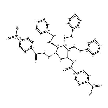 O=C(OC[C@H]1OC(OC(=O)c2ccc([N+](=O)[O-])cc2)[C@H](OCc2ccccc2)[C@@H](OCc2ccccc2)[C@@H]1OCc1ccccc1)c1ccc([N+](=O)[O-])cc1